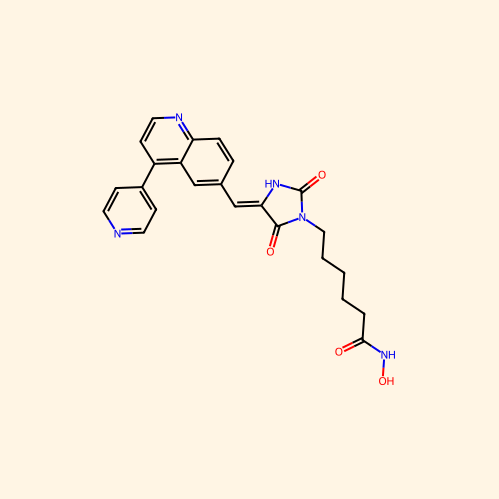 O=C(CCCCCN1C(=O)N/C(=C\c2ccc3nccc(-c4ccncc4)c3c2)C1=O)NO